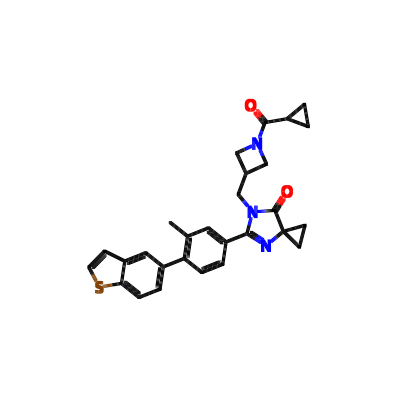 Cc1cc(C2=NC3(CC3)C(=O)N2CC2CN(C(=O)C3CC3)C2)ccc1-c1ccc2sccc2c1